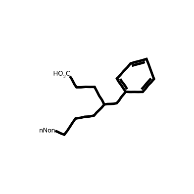 CCCCCCCCCCCCC(CCC(=O)O)Cc1ccccc1